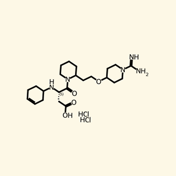 Cl.Cl.N=C(N)N1CCC(OCCC2CCCCN2C(=O)[C@H](CC(=O)O)NC2CC=CCC2)CC1